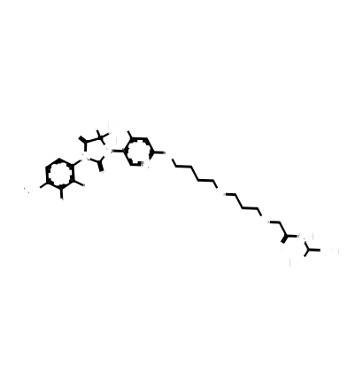 Cc1cc(OCCCCOCCCOCC(=O)NC(C)C(C)(C)C)ncc1N1C(=S)N(c2ccc(C#N)c(C(F)(F)F)c2F)C(=O)C1(C)C